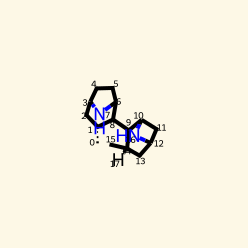 C[C@@H]1CC2CCC(N2)C1C1C2CC(C[C@@H]1C)N2